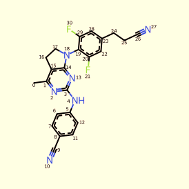 Cc1nc(Nc2ccc(C#N)cc2)nc2c1CCN2c1c(F)cc(CCC#N)cc1F